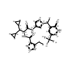 CCc1nonc1C(=O)N[C@H](C(=O)Nc1cnn(C(C)c2cc(C(F)(F)F)n[nH]c2=O)c1)C(C1CC1)C1CC1